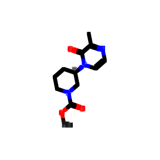 CCCCOC(=O)N1CCC[C@@H](n2ccnc(C)c2=O)C1